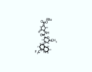 CCCCOC(=O)N1CC(F)C(NC(=O)[C@H]2CN(c3ccc(C(F)(F)F)c4ncccc34)C[C@@H](C)O2)C1